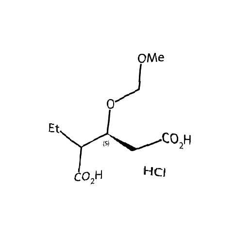 CCC(C(=O)O)[C@H](CC(=O)O)OCOC.Cl